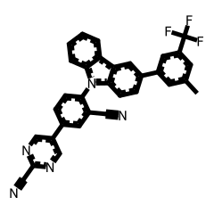 Cc1cc(-c2ccc3c(c2)c2ccccc2n3-c2ccc(-c3cnc(C#N)nc3)cc2C#N)cc(C(F)(F)F)c1